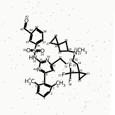 Cc1cccc(C)c1-c1cc(CC[C@@H](CC2(C(F)(F)F)CC2)N(C)C2CC3(CC3)C2)nc(NS(=O)(=O)c2cccc(C=O)c2)n1